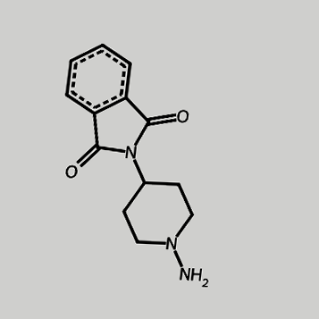 NN1CCC(N2C(=O)c3ccccc3C2=O)CC1